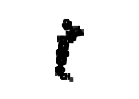 Cn1cc(-c2ccc(S(=O)(=O)N3CCC(Nc4ncc(C#N)c(NC5CCOC5)n4)CC3)cc2)cn1